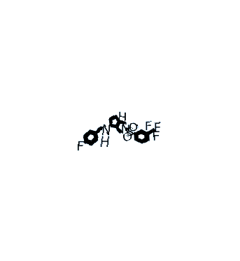 O=S(=O)(c1cccc(C(F)(F)F)c1)N1CC2C(NCc3ccc(F)cc3)CC[C@H]2C1